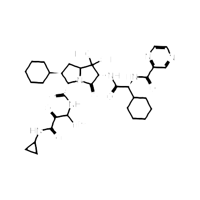 CCCC(NC(=O)[C@@H]1[C@@H](C2CCCCC2)CC2N1C(=O)[C@@H](NC(=O)[C@@H](NC(=O)c1cnccn1)C1CCCCC1)C2(C)C)C(=O)C(=O)NC1CC1